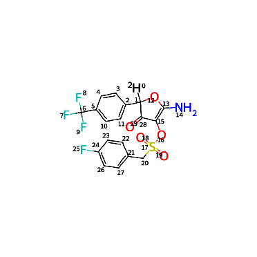 [2H]C1(c2ccc(C(F)(F)F)cc2)OC(N)=C(OS(=O)(=O)Cc2ccc(F)cc2)C1=O